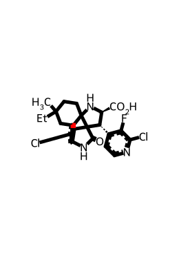 CCC1(C)CCC2(CC1)N[C@@H](C(=O)O)[C@H](c1ccnc(Cl)c1F)C21C(=O)Nc2cc(Cl)ccc21